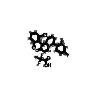 O=C(O)C(F)(F)F.O=c1ccn2c(-c3ccc(F)cc3F)cccc2c1-c1c(Cl)cccc1Cl